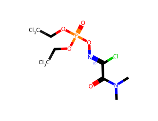 CN(C)C(=O)/C(Cl)=N/OP(=O)(OCC(Cl)(Cl)Cl)OCC(Cl)(Cl)Cl